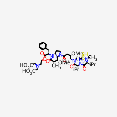 CC[C@H](C)[C@@H]([C@@H](CC(=O)N1CCC[C@H]1[C@H](OC)[C@@H](C)C(=O)N[C@@H](Cc1ccccc1)C(=O)OCCN(CC(=O)O)CC(=O)O)OC)N(C)C(=O)[C@@H](NC(=O)[C@H](C(C)C)N(C)SS)C(C)C